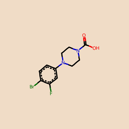 O=C(O)N1CCN(c2ccc(Br)c(F)c2)CC1